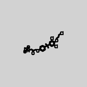 CC(C)(c1ccc(OCC(=O)CNS(C)(=O)=O)cc1)c1cc(Cl)c(OCCCCl)c(Cl)c1